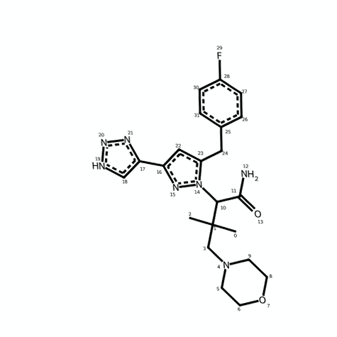 CC(C)(CN1CCOCC1)C(C(N)=O)n1nc(-c2c[nH]nn2)cc1Cc1ccc(F)cc1